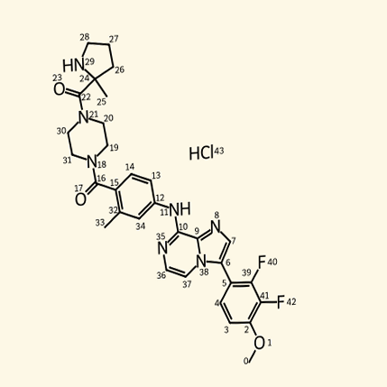 COc1ccc(-c2cnc3c(Nc4ccc(C(=O)N5CCN(C(=O)C6(C)CCCN6)CC5)c(C)c4)nccn23)c(F)c1F.Cl